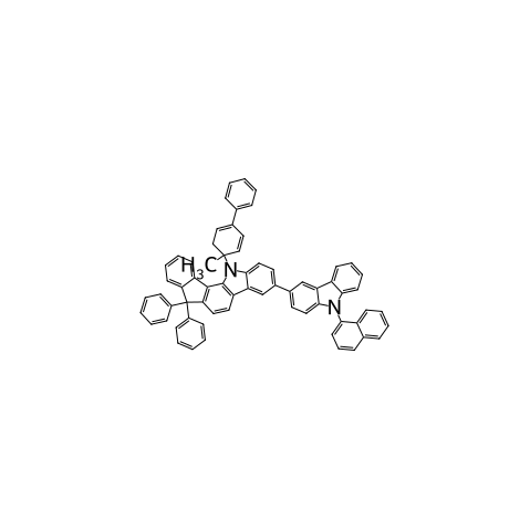 CC1(n2c3ccc(-c4ccc5c(c4)c4ccccc4n5-c4cccc5ccccc45)cc3c3ccc4c(c32)-c2ccccc2C4(c2ccccc2)c2ccccc2)C=CC(c2ccccc2)=CC1